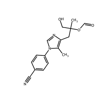 Cc1c(CC(C)(CO)OC=O)ncn1-c1ccc(C#N)cc1